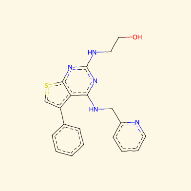 OCCNc1nc(NCc2ccccn2)c2c(-c3ccccc3)csc2n1